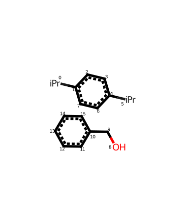 CC(C)c1ccc(C(C)C)cc1.OCc1ccccc1